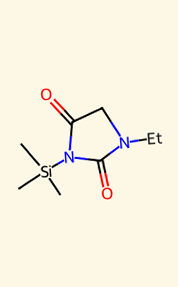 CCN1CC(=O)N([Si](C)(C)C)C1=O